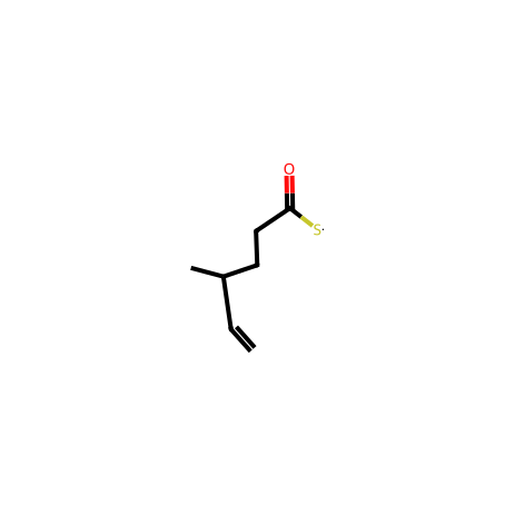 C=CC(C)CCC(=O)[S]